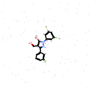 O=Cc1c(-c2cccc(F)c2)nn(-c2cc(F)cc(F)c2)c1Br